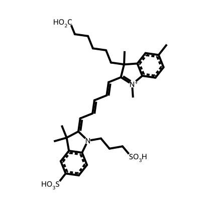 Cc1ccc2c(c1)C(C)(CCCCCC(=O)O)C(/C=C/C=C/C=C1\N(CCCS(=O)(=O)O)c3ccc(S(=O)(=O)O)cc3C1(C)C)=[N+]2C